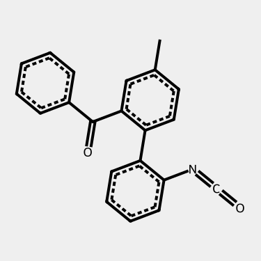 Cc1ccc(-c2ccccc2N=C=O)c(C(=O)c2ccccc2)c1